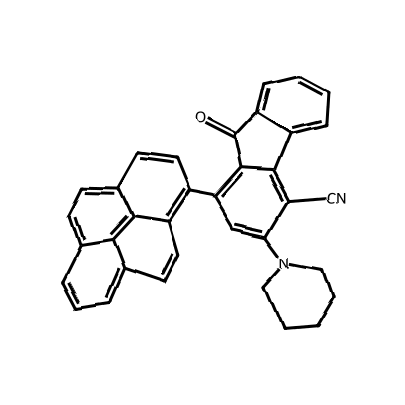 N#Cc1c(N2CCCCC2)cc(-c2ccc3ccc4cccc5ccc2c3c45)c2c1-c1ccccc1C2=O